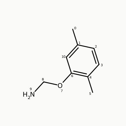 Cc1ccc(C)c(OCN)c1